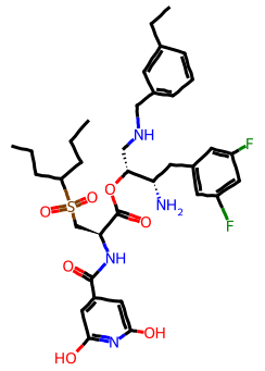 CCCC(CCC)S(=O)(=O)C[C@H](NC(=O)c1cc(O)nc(O)c1)C(=O)O[C@H](CNCc1cccc(CC)c1)[C@@H](N)Cc1cc(F)cc(F)c1